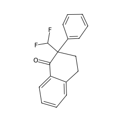 O=C1c2ccccc2CCC1(c1ccccc1)C(F)F